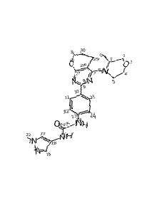 CC1COCCN1c1nc(-c2ccc(NC(=O)Nc3cnn(C)c3)cc2)nc2c1CCCO2